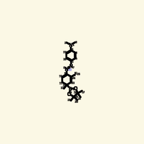 CN(C)c1ccc(/N=N/C2=CCC(C)(B3OC(C)(C)C(C)(C)O3)C=C2F)cc1